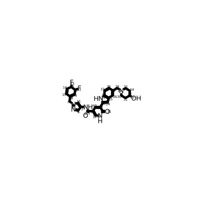 O=C(Nc1cnn(CC2=CC(F)C(F)C=C2)c1)c1c[nH]c(=O)c(-c2cc3cc(CN4CCC(O)CC4)ccc3[nH]2)c1